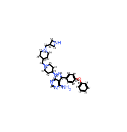 Nc1ncnc2c1c(-c1ccc(Oc3ccccc3)cc1)nn2C1CCN(CC2CCN(CC3CNC3)CC2)CC1